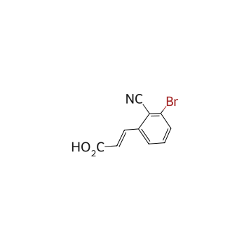 N#Cc1c(Br)cccc1C=CC(=O)O